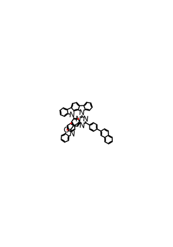 c1ccc(-c2nc(-c3ccc(-c4ccc5ccccc5c4)cc3)nc(-n3c4ccccc4c4ccc5c6ccccc6n(-c6cccc(-c7nc8ccccc8o7)c6)c5c43)n2)cc1